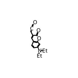 CCN(CC)c1ccc2cc(C=C=C=O)c(=O)oc2c1